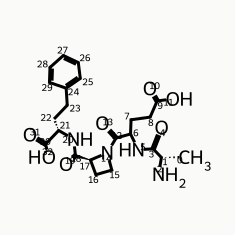 C[C@H](N)C(=O)NC(CCC(=O)O)C(=O)N1CC[C@H]1C(=O)N[C@@H](CCc1ccccc1)C(=O)O